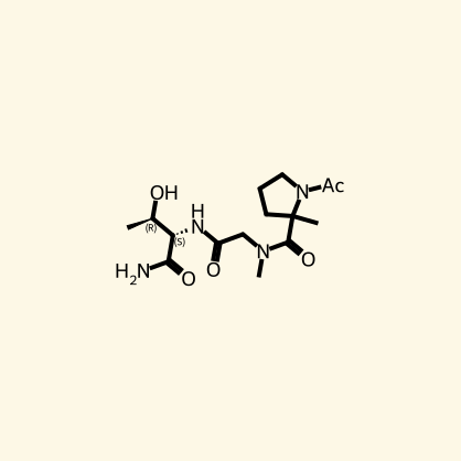 CC(=O)N1CCCC1(C)C(=O)N(C)CC(=O)N[C@H](C(N)=O)[C@@H](C)O